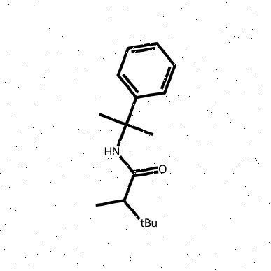 CC(C(=O)NC(C)(C)c1ccccc1)C(C)(C)C